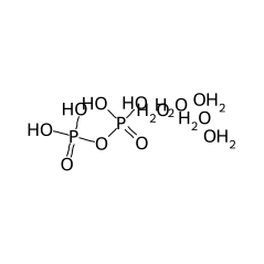 O.O.O.O.O.O=P(O)(O)OP(=O)(O)O